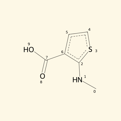 CNc1sccc1C(=O)O